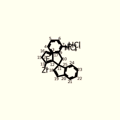 Cl.Cl.Fc1cccc(F)c1CC1(C2=[C]([Zr])CC=C2)C=Cc2ccccc21